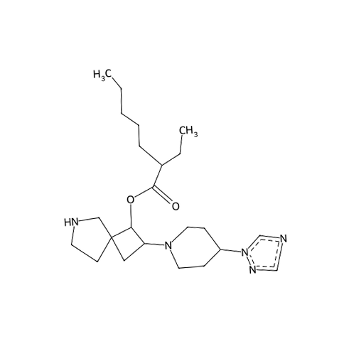 CCCCCC(CC)C(=O)OC1C(N2CCC(n3cncn3)CC2)CC12CCNC2